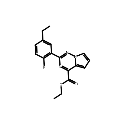 CCOC(=O)c1nc(-c2cc(CC)ccc2F)nn2cccc12